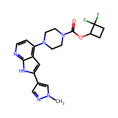 Cn1cc(-c2cc3c(N4CCN(C(=O)OC5CCC5(F)F)CC4)ccnc3[nH]2)cn1